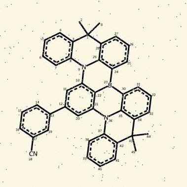 CC1(C)c2ccccc2N2c3cc(-c4cccc(C#N)c4)cc4c3B(c3cccc1c32)c1cccc2c1N4c1ccccc1C2(C)C